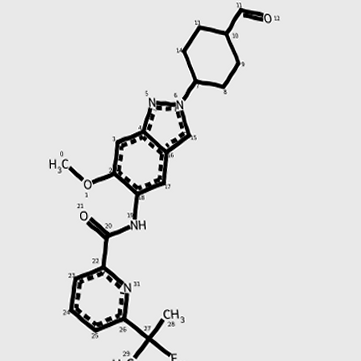 COc1cc2nn(C3CCC(C=O)CC3)cc2cc1NC(=O)c1cccc(C(C)(C)F)n1